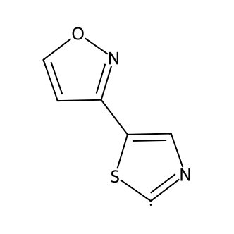 [c]1ncc(-c2ccon2)s1